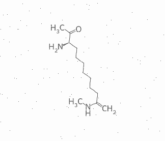 C=C(CCCCCCC[C@@H](N)C(C)=O)NC